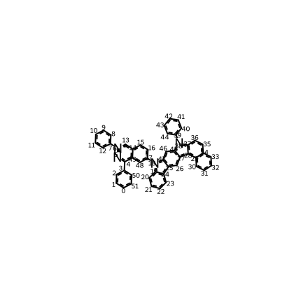 c1ccc(-c2n[n+](-c3ccccc3)cc3ccc(-n4c5ccccc5c5cc6c7c8ccccc8ccc7n(-c7ccccc7)c6cc54)cc23)cc1